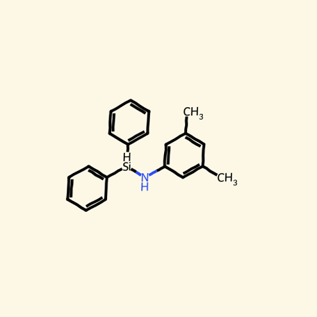 Cc1cc(C)cc(N[SiH](c2ccccc2)c2ccccc2)c1